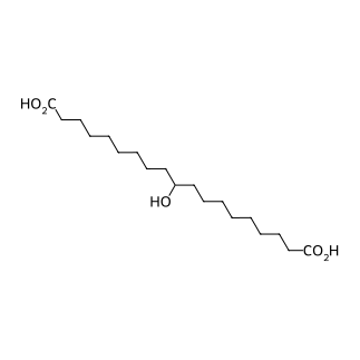 O=C(O)CCCCCCCCC(O)CCCCCCCCC(=O)O